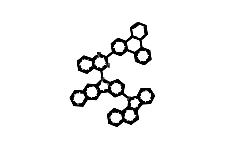 C1=CC2c3ccccc3-c3cc(-c4nc(-n5c6ccc(-n7c8ccccc8c8ccc9ccccc9c87)cc6c6cc7ccccc7cc65)c5ccccc5n4)ccc3C2C=C1